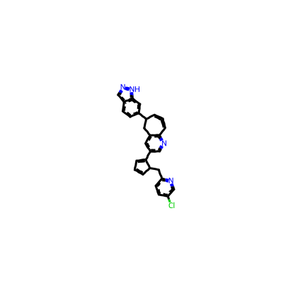 Clc1ccc(CC2C=CC=C2c2cnc3c(c2)CC(c2ccc4cn[nH]c4c2)C=C=C3)nc1